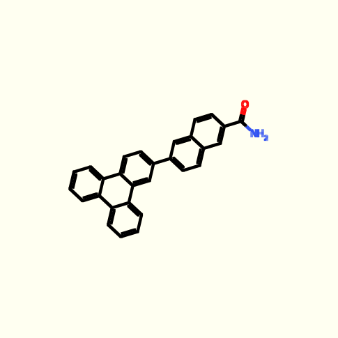 NC(=O)c1ccc2cc(-c3ccc4c5ccccc5c5ccccc5c4c3)ccc2c1